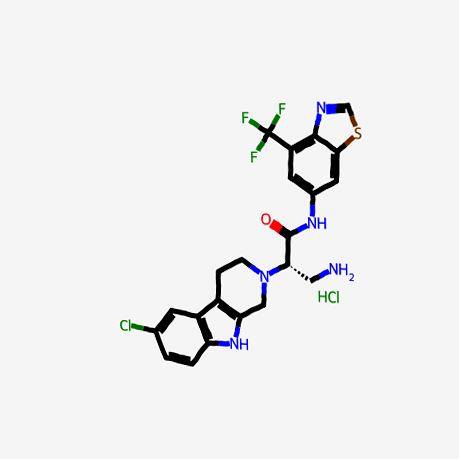 Cl.NC[C@@H](C(=O)Nc1cc(C(F)(F)F)c2ncsc2c1)N1CCc2c([nH]c3ccc(Cl)cc23)C1